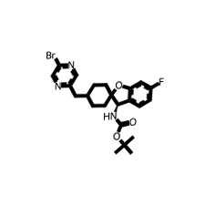 CC(C)(C)OC(=O)N[C@@H]1c2ccc(F)cc2OC12CCC(Cc1cnc(Br)cn1)CC2